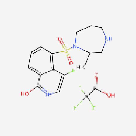 CC1CNCCCN1S(=O)(=O)c1cccc2c(O)ncc(F)c12.O=C(O)C(F)(F)F